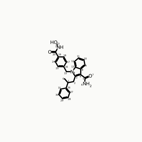 CC(Cc1c(C(N)=O)c2ccccc2n1Cc1ccc(C(=O)NO)cc1)c1ccccc1